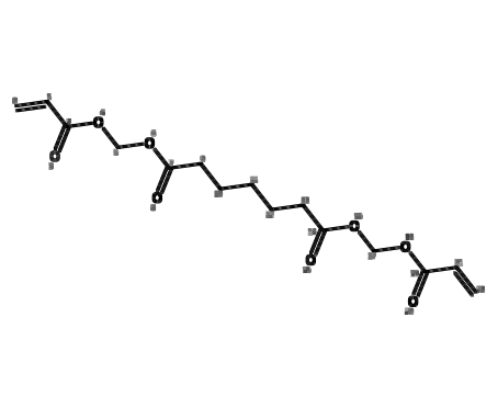 C=CC(=O)OCOC(=O)CCCCCC(=O)OCOC(=O)C=C